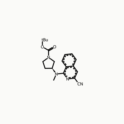 CN(c1nc(C#N)cc2ccccc12)[C@H]1CCN(C(=O)OC(C)(C)C)C1